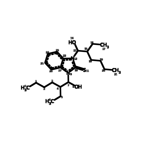 CCCCC(CC)C(O)n1c(=S)n(C(O)C(CC)CCCC)c2ccccc21